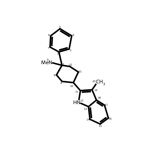 CNC1(c2ccccc2)CCC(c2[nH]c3ccccc3c2C)CC1